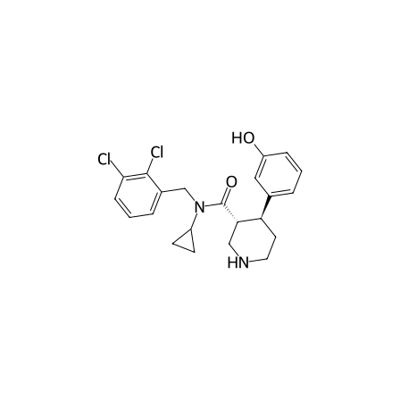 O=C([C@H]1CNCC[C@@H]1c1cccc(O)c1)N(Cc1cccc(Cl)c1Cl)C1CC1